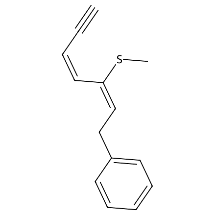 C#C/C=C\C(=C/Cc1ccccc1)SC